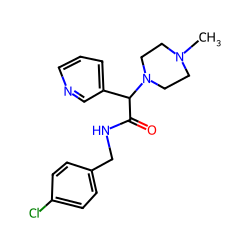 CN1CCN(C(C(=O)NCc2ccc(Cl)cc2)c2cccnc2)CC1